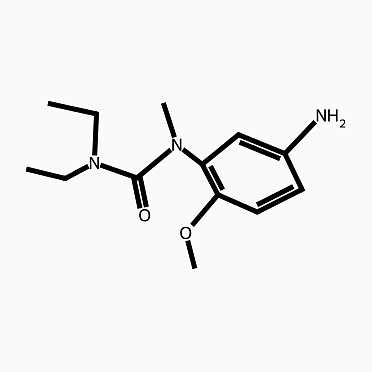 CCN(CC)C(=O)N(C)c1cc(N)ccc1OC